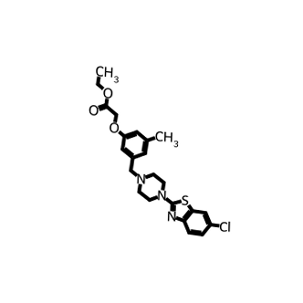 CCOC(=O)COc1cc(C)cc(CN2CCN(c3nc4ccc(Cl)cc4s3)CC2)c1